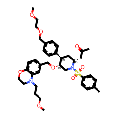 COCCCN1CCOc2ccc(CO[C@H]3CN(S(=O)(=O)c4ccc(C)cc4)[C@@H](CC(C)=O)C[C@@H]3c3ccc(COCCOC)cc3)cc21